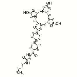 CCCCNC(=O)CNC(=O)c1ccc(C2CCN(C(=O)CN3CCN(CC(=O)O)CCN(CC(=O)O)CCN(CC(=O)O)CC3)CC2)cc1